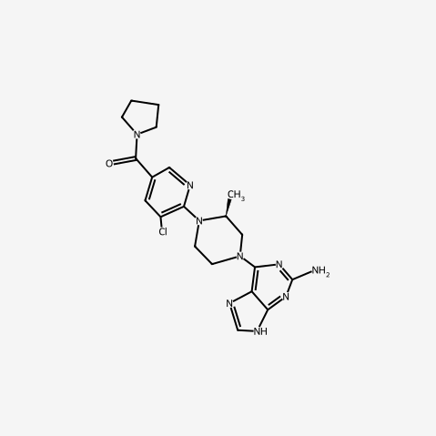 C[C@H]1CN(c2nc(N)nc3[nH]cnc23)CCN1c1ncc(C(=O)N2CCCC2)cc1Cl